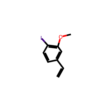 C=Cc1ccc(I)c(OC)c1